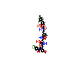 COc1ccc2c(c1)c(CC(=O)N[C@@H](CCC(=O)N[C@@H](CCCCNC(=O)COc1ccc(-c3ccc(F)cc3F)cc1C(=O)O)C(=O)C(C)(C)C)C(=O)O)c(C)n2C(=O)c1ccc(Cl)cc1